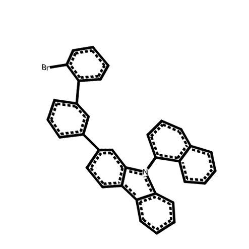 Brc1ccccc1-c1cccc(-c2ccc3c4ccccc4n(-c4cccc5ccccc45)c3c2)c1